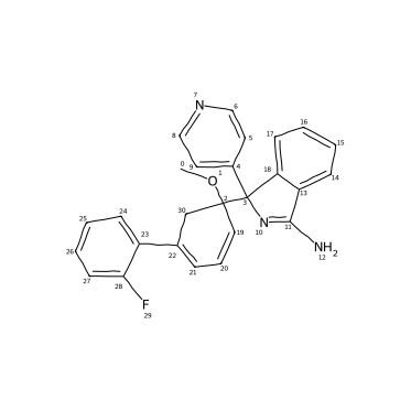 COC1(C2(c3ccncc3)N=C(N)c3ccccc32)C=CC=C(c2ccccc2F)C1